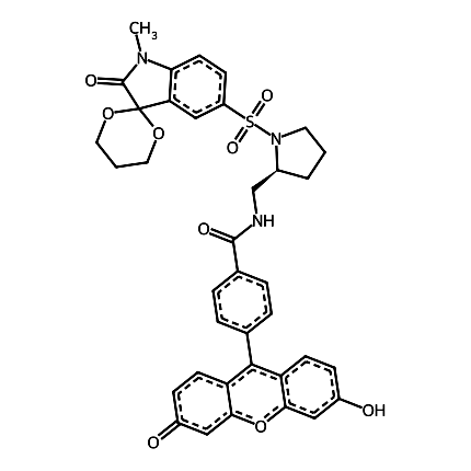 CN1C(=O)C2(OCCCO2)c2cc(S(=O)(=O)N3CCC[C@H]3CNC(=O)c3ccc(-c4c5ccc(=O)cc-5oc5cc(O)ccc45)cc3)ccc21